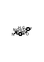 COc1ccc(F)cc1C(=O)NCc1ccc(CC(C#N)(C#N)OC)cc1